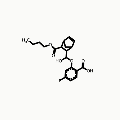 CCCCOC(=O)C1C2C=CC(C2)C1C(O)Oc1cc(I)ccc1C(=O)O